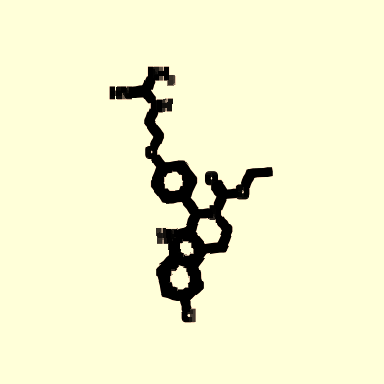 CCOC(=O)N1CCc2c([nH]c3ccc(Cl)cc23)C1c1ccc(OCCNC(=N)N)cc1